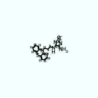 Nc1n[s+]([O-])nc1NCCCN1c2ccccc2Sc2cccnc21